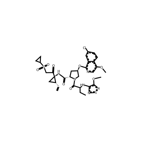 C=C[C@@H]1C[C@]1(NC(=O)[C@@H]1C[C@@H](Oc2ncc(OC)c3ccc(Cl)cc23)CN1C(=O)C(CC)Nc1nsnc1OC)C(=O)CS(=O)(=O)C1CC1